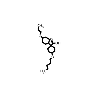 CCCCCOC1CCC(C(=O)O)(C2CCC(OCCC)CC2)CC1